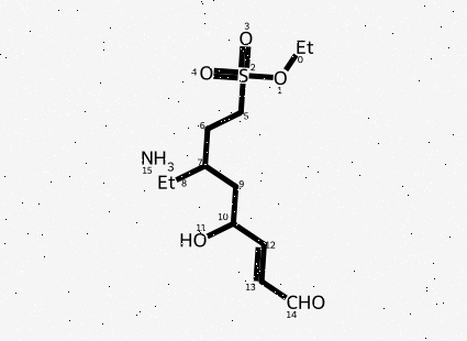 CCOS(=O)(=O)CCC(CC)CC(O)C=CC=O.N